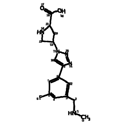 CNCc1cc(F)cc(-c2cn(C3CNC(C(=O)O)C3)nn2)c1